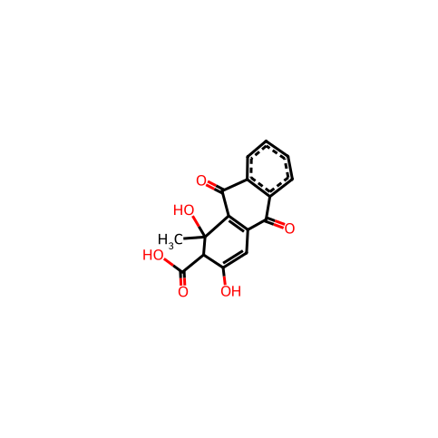 CC1(O)C2=C(C=C(O)C1C(=O)O)C(=O)c1ccccc1C2=O